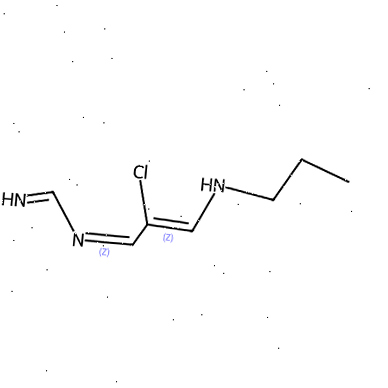 CCCN/C=C(Cl)/C=N\C=N